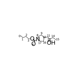 CCCCOC(=O)N1CCC(C[C@@H](O)CC)CC1